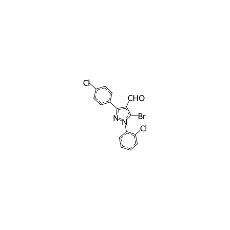 O=Cc1c(-c2ccc(Cl)cc2)nn(-c2ccccc2Cl)c1Br